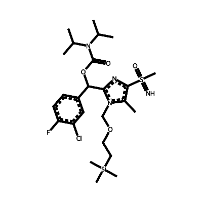 Cc1c(S(C)(=N)=O)nc(C(OC(=O)N(C(C)C)C(C)C)c2ccc(F)c(Cl)c2)n1COCC[Si](C)(C)C